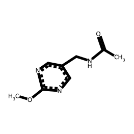 COc1ncc(CNC(C)=O)cn1